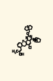 C/C(O)=C\c1ccccc1Cc1c(Cl)cc2c(N3CC4CCC(C3)N4)nc(OCC34CCCN3CCC4)nc2c1F